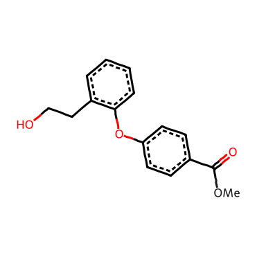 COC(=O)c1ccc(Oc2ccccc2CCO)cc1